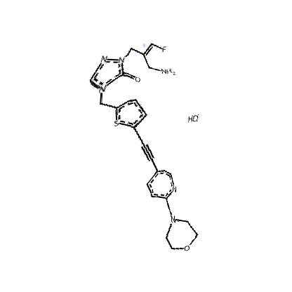 Cl.NC/C(=C\F)Cn1ncn(Cc2ccc(C#Cc3ccc(N4CCOCC4)nc3)s2)c1=O